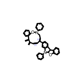 C=C1/C=C\C(c2ccc3c(c2)N(c2ccccc2)C2Oc4ccccc4C32)=C/CN(c2ccccc2)Oc2ccccc2C1=C